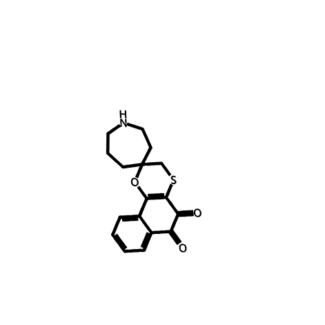 O=C1C(=O)c2ccccc2C2=C1SCC1(CCCNCC1)O2